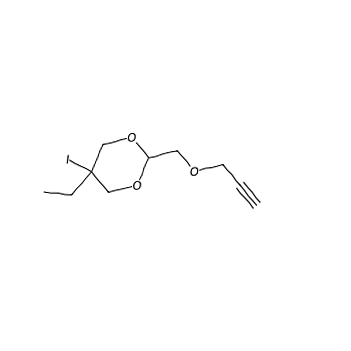 C#CCOCC1OCC(I)(CC)CO1